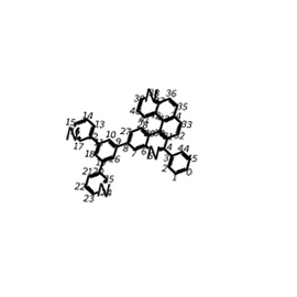 c1ccc(-c2nc3cc(-c4cc(-c5cccnc5)cc(-c5cccnc5)c4)ccc3c3c2ccc2ccc4ncccc4c23)cc1